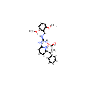 COc1cccc(OC)c1CN=C(NOC(C)=O)Nc1cccc(Cc2ccccc2)n1